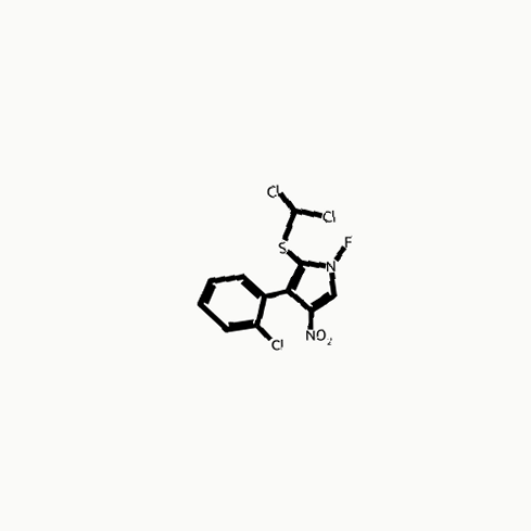 O=[N+]([O-])c1cn(F)c(SC(Cl)Cl)c1-c1ccccc1Cl